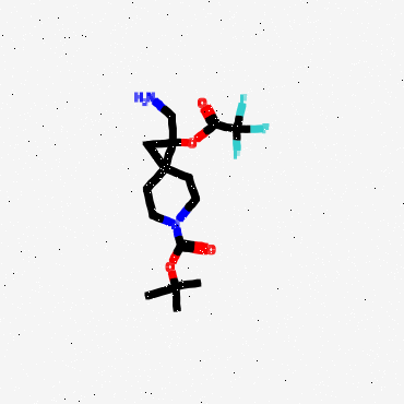 CC(C)(C)OC(=O)N1CCC2(CC1)CC2(CN)OC(=O)C(F)(F)F